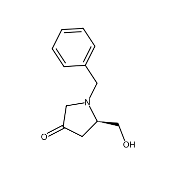 O=C1C[C@H](CO)N(Cc2ccccc2)C1